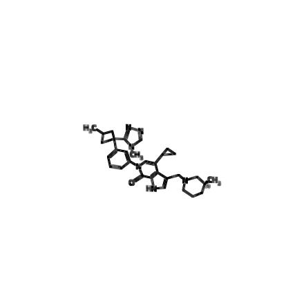 CC1CC(c2cccc(-n3cc(C4CC4)c4c(CN5CCC[C@H](C)C5)c[nH]c4c3=O)c2)(c2nncn2C)C1